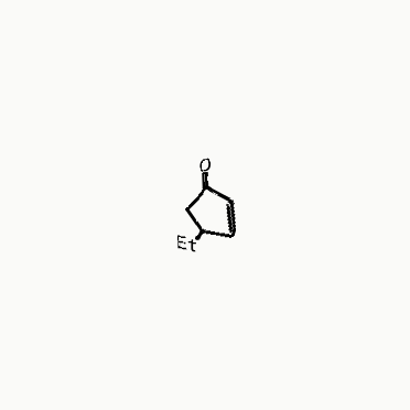 CCC1C=CC(=O)C1